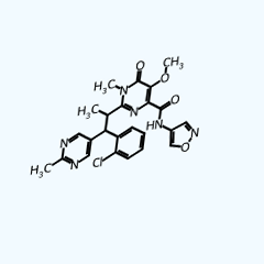 COc1c(C(=O)Nc2cnoc2)nc(C(C)C(c2cnc(C)nc2)c2ccccc2Cl)n(C)c1=O